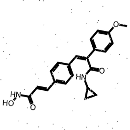 COc1ccc(C(=Cc2ccc(C=CC(=O)NO)cc2)C(=O)NC2CC2)cc1